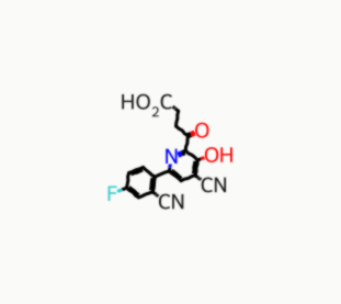 N#Cc1cc(F)ccc1-c1cc(C#N)c(O)c(C(=O)CCC(=O)O)n1